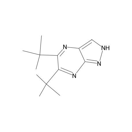 CC(C)(C)c1nc2c[nH]nc2nc1C(C)(C)C